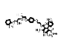 COC(=O)C1=C(C)NC(C)=C(C(=O)OCCOc2ccc(OCC(C)NCC(O)COc3ccccc3C#N)cc2)C1c1cccc([N+](=O)[O-])c1